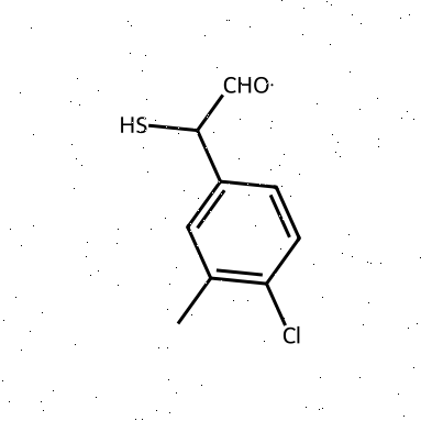 Cc1cc(C(S)[C]=O)ccc1Cl